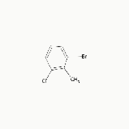 Cc1c(Cl)[c]ccc1Br